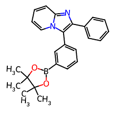 CC1(C)OB(c2cccc(-c3c(-c4ccccc4)nc4ccccn34)c2)OC1(C)C